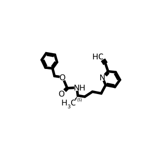 C#Cc1cccc(CCC[C@H](C)NC(=O)OCc2ccccc2)n1